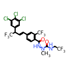 CN(NC(=O)c1ccc(/C=C/C(c2cc(Cl)c(Cl)c(Cl)c2)C(F)(F)F)cc1C(F)(F)F)C(=O)NCC(F)(F)F